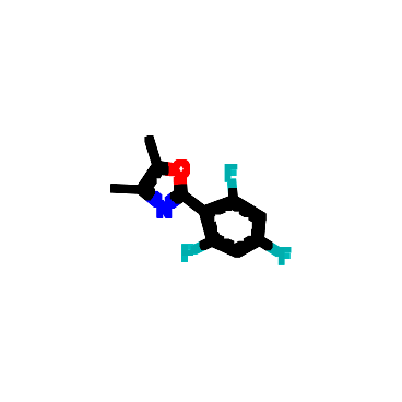 Cc1nc(-c2c(F)cc(F)cc2F)oc1C